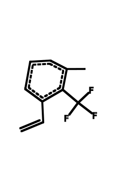 C=Cc1cccc(C)c1C(F)(F)F